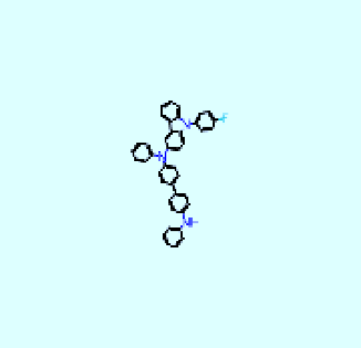 Fc1ccc(-n2c3ccccc3c3cc(N(c4ccccc4)c4ccc(-c5ccc(Nc6ccccc6)cc5)cc4)ccc32)cc1